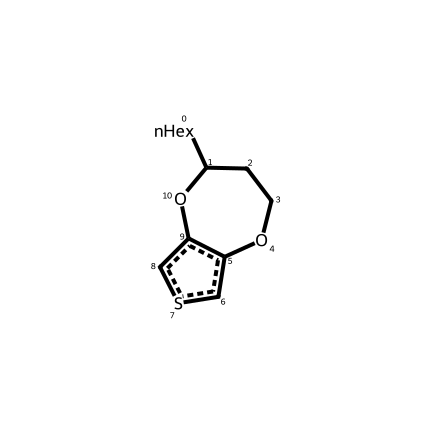 CCCCCCC1CCOc2cscc2O1